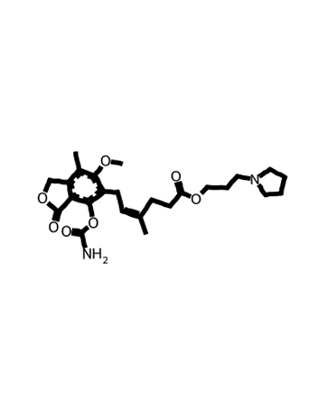 COc1c(C)c2c(c(OC(N)=O)c1CC=C(C)CCC(=O)OCCCN1CCCC1)C(=O)OC2